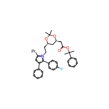 CC(C)c1cc(-c2ccccc2)c(-c2ccc(F)cc2)n1CC[C@@H]1C[C@H](CC(=O)OC(C)(C)c2ccccc2)OC(C)(C)O1